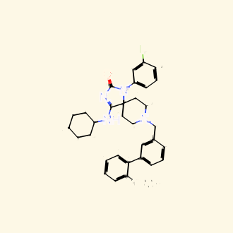 COc1ccccc1-c1cccc(CN2CCC3(CC2)C(NC2CCCCC2)=NC(=O)N3c2cccc(F)c2)c1